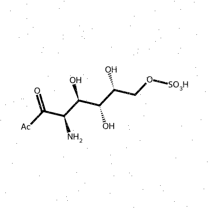 CC(=O)C(=O)[C@H](N)[C@@H](O)[C@@H](O)[C@H](O)COS(=O)(=O)O